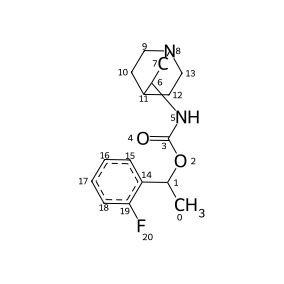 CC(OC(=O)NC1CN2CCC1CC2)c1ccccc1F